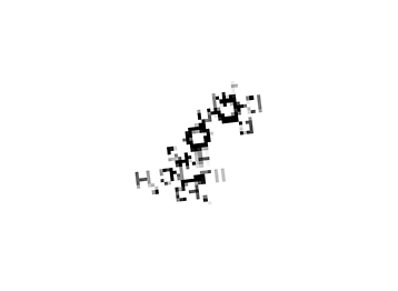 C#CC(C)N(C)C(=S)Nc1ccc(Oc2cc(Cl)c(Cl)c(F)n2)cc1